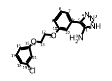 Nc1[nH]nnc1-c1cccc(OCCOc2cccc(Cl)c2)c1